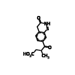 CC(CC(=O)O)C(=O)c1ccc2c(c1)SNC(=O)C2